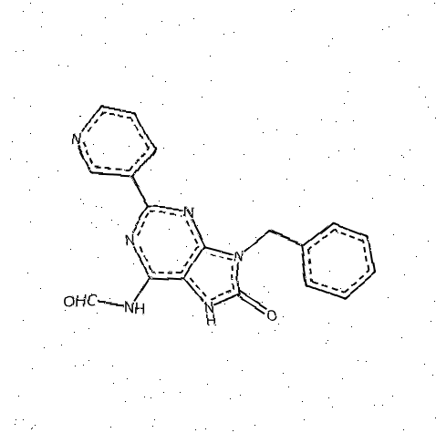 O=CNc1nc(-c2cccnc2)nc2c1[nH]c(=O)n2Cc1ccccc1